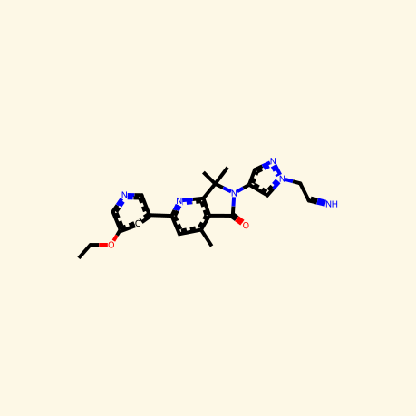 CCOc1cncc(-c2cc(C)c3c(n2)C(C)(C)N(c2cnn(CC=N)c2)C3=O)c1